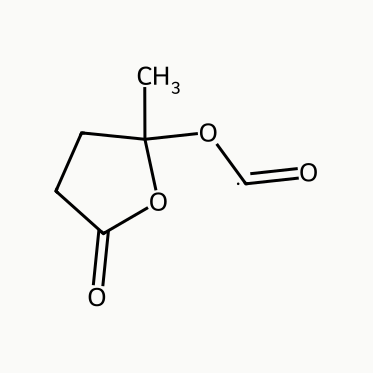 CC1(O[C]=O)CCC(=O)O1